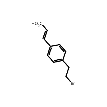 O=C(O)/C=C/c1ccc(CCBr)cc1